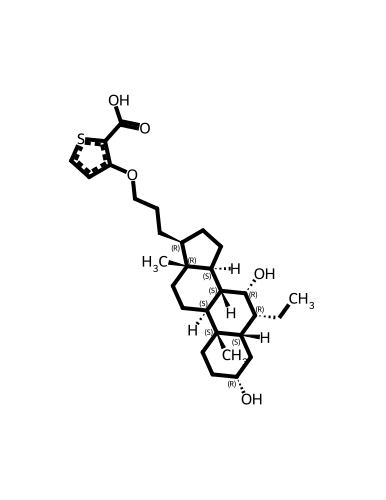 CC[C@H]1[C@@H](O)[C@@H]2[C@H](CC[C@]3(C)[C@@H](CCCOc4ccsc4C(=O)O)CC[C@@H]23)[C@@]2(C)CC[C@@H](O)C[C@@H]12